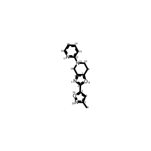 Cc1cc(-c2nc3c(o2)CCN(c2ccccn2)C3)on1